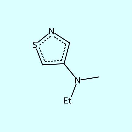 CCN(C)c1cnsc1